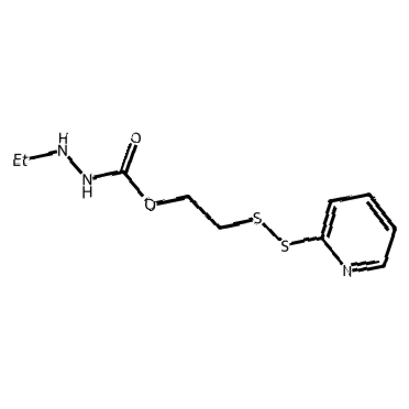 CCNNC(=O)OCCSSc1ccccn1